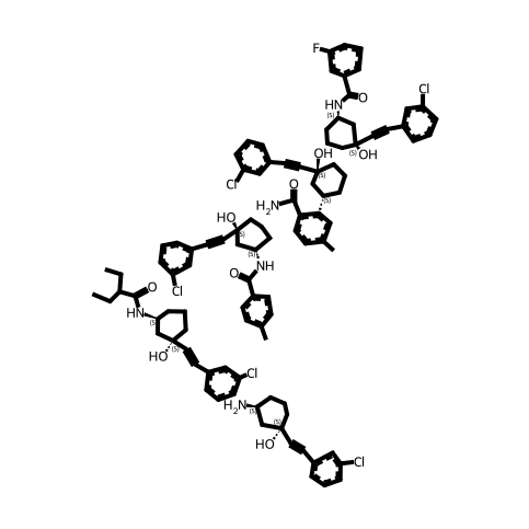 CCC(CC)C(=O)N[C@H]1CCC[C@@](O)(C#Cc2cccc(Cl)c2)C1.Cc1ccc(C(=O)N[C@H]2CCC[C@@](O)(C#Cc3cccc(Cl)c3)C2)cc1.Cc1ccc(C(N)=O)c([C@H]2CCC[C@@](O)(C#Cc3cccc(Cl)c3)C2)c1.N[C@H]1CCC[C@@](O)(C#Cc2cccc(Cl)c2)C1.O=C(N[C@H]1CCC[C@@](O)(C#Cc2cccc(Cl)c2)C1)c1cccc(F)c1